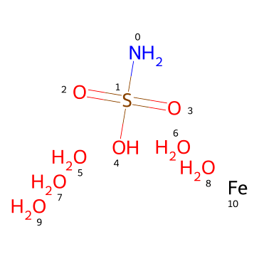 NS(=O)(=O)O.O.O.O.O.O.[Fe]